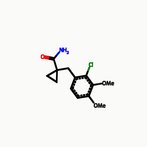 COc1ccc(CC2(C(N)=O)CC2)c(Cl)c1OC